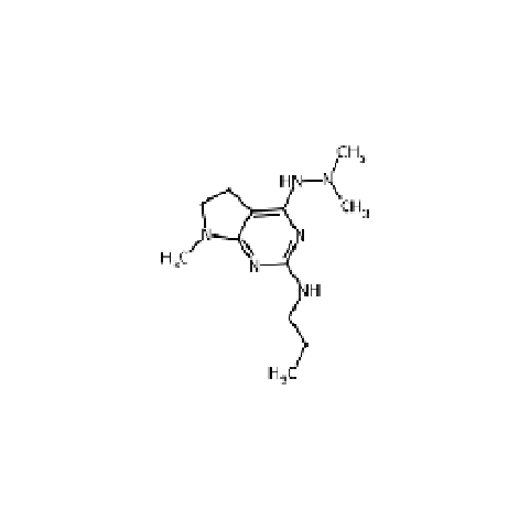 CCCNc1nc(NN(C)C)c2c(n1)N(C)CC2